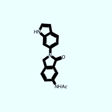 CC(=O)Nc1ccc2c(c1)C(=O)N(c1ccc3cc[nH]c3c1)C2